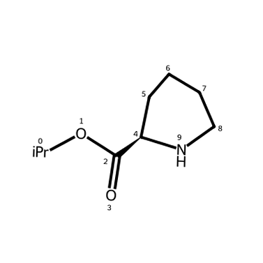 CC(C)OC(=O)[C@H]1CCCCN1